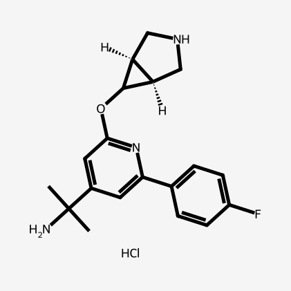 CC(C)(N)c1cc(OC2[C@H]3CNC[C@@H]23)nc(-c2ccc(F)cc2)c1.Cl